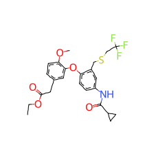 CCOC(=O)Cc1ccc(OC)c(Oc2ccc(NC(=O)C3CC3)cc2CSCC(F)(F)F)c1